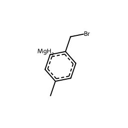 Cc1ccc(CBr)cc1.[MgH2]